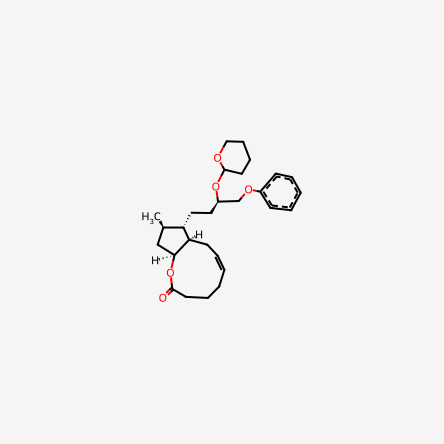 C[C@@H]1C[C@@H]2OC(=O)CCC/C=C\C[C@@H]2[C@H]1CC[C@H](COc1ccccc1)OC1CCCCO1